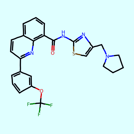 O=C(Nc1nc(CN2CCCC2)cs1)c1cccc2ccc(-c3cccc(OC(F)(F)F)c3)nc12